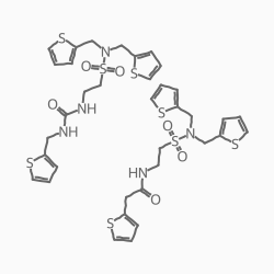 O=C(Cc1cccs1)NCCS(=O)(=O)N(Cc1cccs1)Cc1cccs1.O=C(NCCS(=O)(=O)N(Cc1cccs1)Cc1cccs1)NCc1cccs1